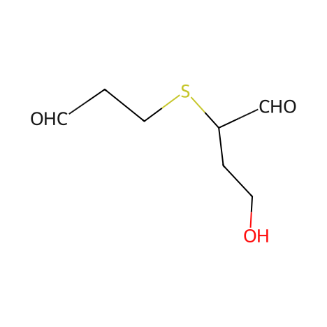 O=CCCSC(C=O)CCO